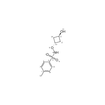 Cc1ccc(S(=O)(=O)NO[C@H]2C[C@H](O)C2)cc1